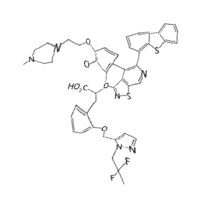 Cc1c(-c2c(-c3cccc4c3sc3ccccc34)ncc3snc(OC(Cc4ccccc4OCc4ccnn4CC(C)(F)F)C(=O)O)c23)ccc(OCCN2CCN(C)CC2)c1Cl